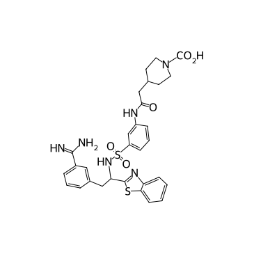 N=C(N)c1cccc(CC(NS(=O)(=O)c2cccc(NC(=O)CC3CCN(C(=O)O)CC3)c2)c2nc3ccccc3s2)c1